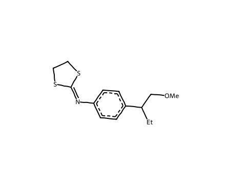 CCC(COC)c1ccc(N=C2SCCS2)cc1